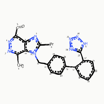 CC(C)c1nc2c(C=O)nnc(C=O)c2n1Cc1ccc(-c2ccccc2-c2nnn[nH]2)cc1